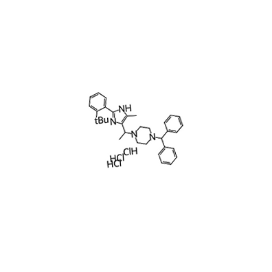 Cc1[nH]c(-c2ccccc2C(C)(C)C)nc1C(C)N1CCN(C(c2ccccc2)c2ccccc2)CC1.Cl.Cl.Cl